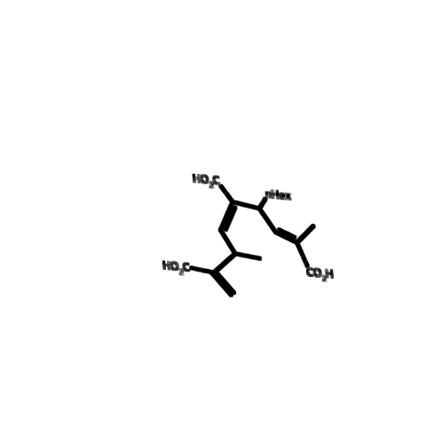 C=C(C(=O)O)C(C)C=C(C(=O)O)C(C=C(C)C(=O)O)CCCCCC